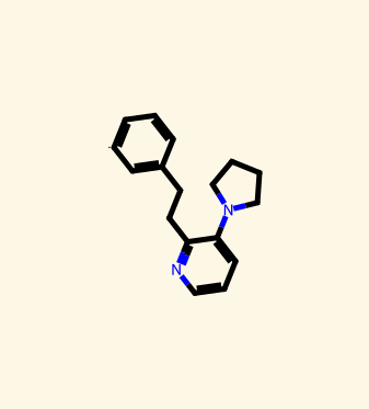 [c]1cccc(CCc2ncccc2N2CCCC2)c1